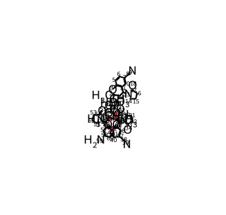 CC1(C)Oc2ccc(C#N)cc2C(N2CCCC2=O)C1OP(=O)(O)P(=O)(OC1C(N2CCCC2=O)c2cc(C#N)ccc2OC1(C)C)OC1[C@H](N2CCCC2=O)c2cc(N)ccc2OC1(C)C